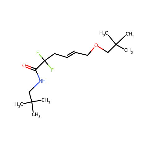 CC(C)(C)CNC(=O)C(F)(F)CC=CCOCC(C)(C)C